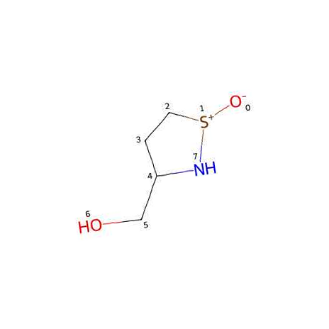 [O-][S+]1CCC(CO)N1